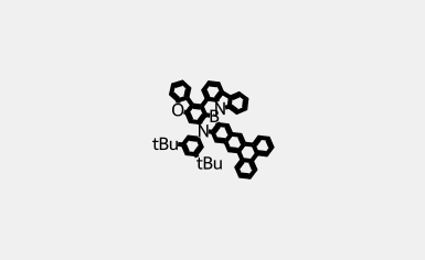 CC(C)(C)c1cc(N2c3cc4cc5c6ccccc6c6ccccc6c5cc4cc3B3c4c2cc2oc5ccccc5c2c4-c2cccc4c5ccccc5n3c24)cc(C(C)(C)C)c1